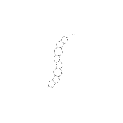 CCCCCCCCCCc1cc2sc3cc4sc5c6cc7c(cc6sc5c4cc3c2s1)sc1cc(C)sc17